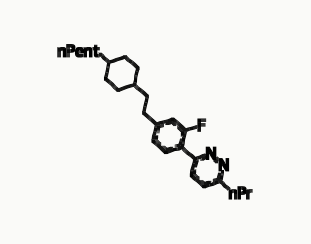 CCCCCC1CCC(CCc2ccc(-c3ccc(CCC)nn3)c(F)c2)CC1